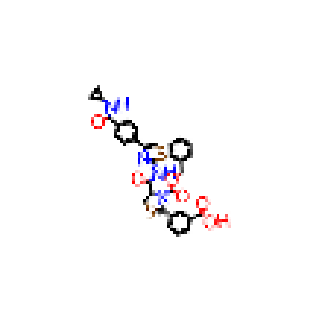 O=C(O)c1cccc([C@H]2SCC(C(=O)Nc3nc(-c4ccc(C(=O)NC5CC5)cc4)cs3)N2C(=O)OCc2ccccc2)c1